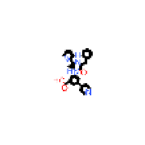 O=C(O)c1cc(NC(=O)C(Cc2ccccc2)NC2(c3ccccn3)CC2)cc(-c2ccncc2)c1